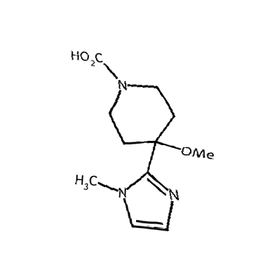 COC1(c2nccn2C)CCN(C(=O)O)CC1